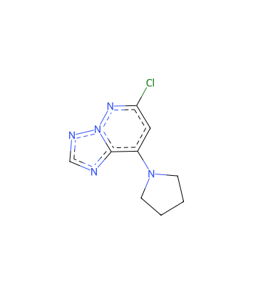 Clc1cc(N2CCCC2)c2ncnn2n1